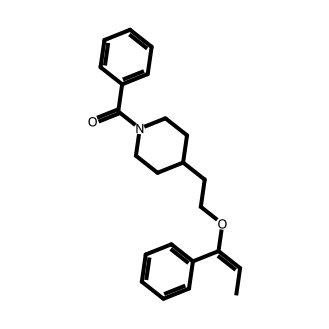 CC=C(OCCC1CCN(C(=O)c2ccccc2)CC1)c1ccccc1